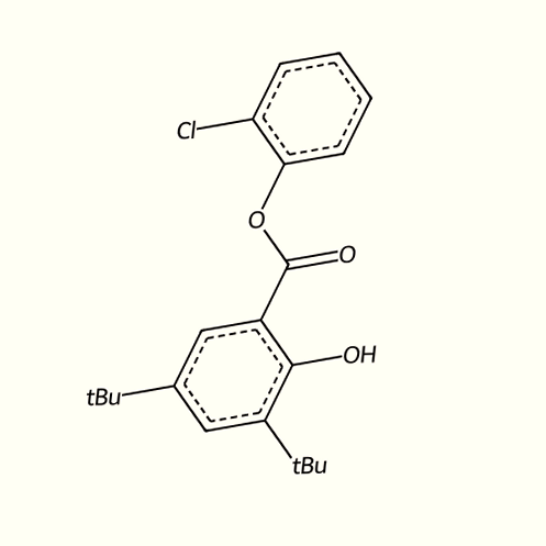 CC(C)(C)c1cc(C(=O)Oc2ccccc2Cl)c(O)c(C(C)(C)C)c1